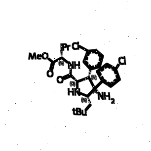 COC(=O)[C@@H](NC(=O)[C@@H]1N[C@@H](CC(C)(C)C)[C@](N)(c2ccc(Cl)cc2)[C@H]1c1cccc(Cl)c1)C(C)C